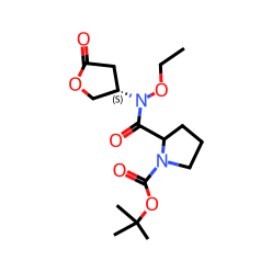 CCON(C(=O)C1CCCN1C(=O)OC(C)(C)C)[C@@H]1COC(=O)C1